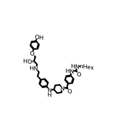 CCCCCCNC(=O)Nc1ccc(C(=O)N2CCC(Nc3ccc(CCNC[C@H](O)COc4ccc(O)cc4)cc3)CC2)cc1